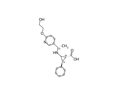 C[C@H](NC1[C@H](C(=O)O)[C@H]1c1ccccc1)c1ccc(OCCO)nc1